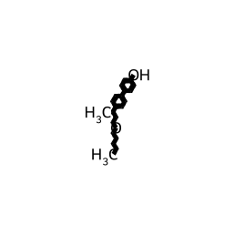 CCCCCOCCC(C)c1ccc(-c2ccc(O)cc2)cc1